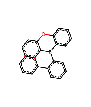 c1ccc(-c2ccccc2B2c3ccccc3Oc3ccccc32)cc1